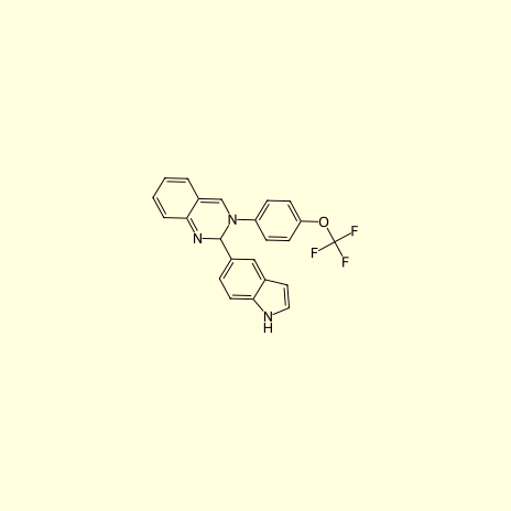 FC(F)(F)Oc1ccc(N2C=c3ccccc3=NC2c2ccc3[nH]ccc3c2)cc1